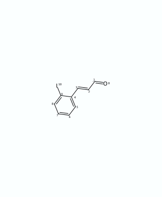 O=[C]/C=C/c1ccccc1I